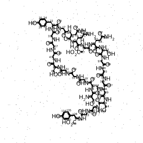 NC(=O)CC[C@H](NC(=O)[C@H](CC(N)=O)NC(=O)CNC(=O)[C@H](Cc1ccc(O)cc1)NC(=O)CNC(=O)CNC(=O)CNC(=O)[C@H](CO)NC(=O)CNC(=O)CNC(=O)CNC(=O)[C@H](CO)NC(=O)[C@@H](N)CO)C(=O)N[C@@H](CC(=O)O)C(=O)N[C@@H](CCC(N)=O)C(=O)N[C@@H](CO)C(=O)NCC(=O)NCC(=O)NCC(=O)NCC(=O)N[C@@H](CO)C(=O)NCC(=O)NCC(=O)N[C@@H](Cc1ccc(O)cc1)C(=O)O